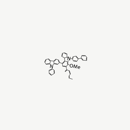 C=C(/C=C\C=C/C)c1cc(-c2ccc3c4ccccc4n(-c4ccccc4)c3c2)c2c(c1OC)N(c1ccc(-c3ccccc3)cc1)C1C=CC=CC21